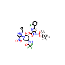 CC(C)(C)OC(=O)Nc1sc(-c2ccccc2F)nc1C(=O)O.O=C(N[C@@H]1CCCN(c2c([N+](=O)[O-])cnn2CC2CC2)CC1)C(F)(F)F